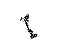 CN(CCCCCCCCCN1CCC(OC(=O)Nc2ccccc2-c2ccccc2)CC1)C(=O)c1ccc(Cl)cc1O